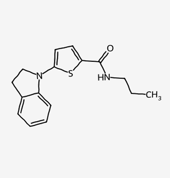 CCCNC(=O)c1ccc(N2CCc3ccccc32)s1